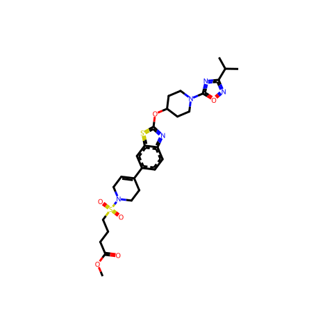 COC(=O)CCCS(=O)(=O)N1CC=C(c2ccc3nc(OC4CCN(c5nc(C(C)C)no5)CC4)sc3c2)CC1